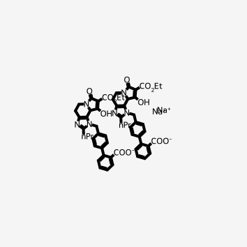 CCCc1nc2c(n1Cc1ccc(-c3ccccc3C(=O)[O-])cc1)C1C(O)=C(C(=O)OCC)C(=O)N1CC2.CCCc1nc2c(n1Cc1ccc(-c3ccccc3C(=O)[O-])cc1)C1C(O)=C(C(=O)OCC)C(=O)N1CC2.[Na+].[Na+]